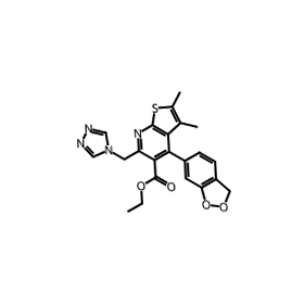 CCOC(=O)c1c(Cn2cnnc2)nc2sc(C)c(C)c2c1-c1ccc2c(c1)OOC2